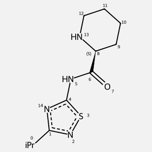 CC(C)c1nsc(NC(=O)[C@@H]2CCCCN2)n1